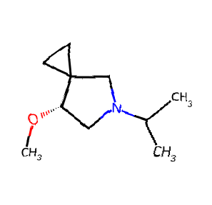 CO[C@H]1CN(C(C)C)CC12CC2